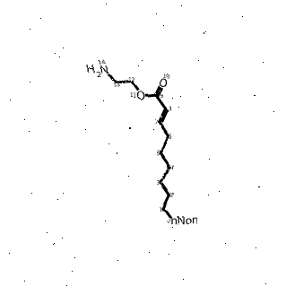 CCCCCCCCCCCCCCCC=CC(=O)OCCN